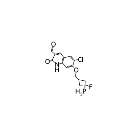 O=Cc1cc2cc(Cl)c(OCC3CC(F)(P)C3)cc2[nH]c1=O